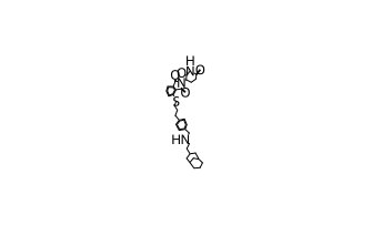 O=C1CCC(N2C(=O)c3cccc(SCCCc4ccc(CNCCC5CC6CCCC(C6)C5)cc4)c3C2=O)C(=O)N1